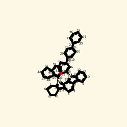 C1=Cc2c(c3ccc4c5ccccc5n(C5=CC(c6ccc(-c7ccccc7)cc6)=CCC5)c4c3n2-c2cccc3ccccc23)CC1